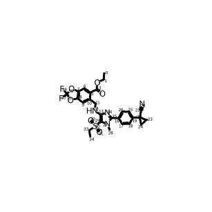 CCOC(=O)c1cc2c(cc1CNc1nc(-c3ccc(C4(C#N)CC4)cc3)n(C)c1S(=O)(=O)CC)OC(F)(F)O2